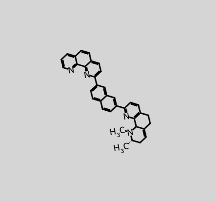 C[C@H]1CC=C2CCc3ccc(-c4ccc5ccc(-c6ccc7ccc8cccnc8c7n6)cc5c4)nc3C2N1C